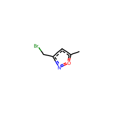 Cc1cc(CBr)no1